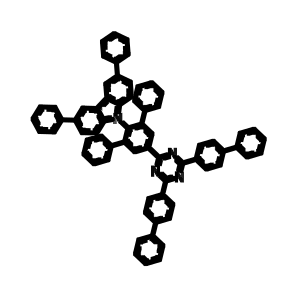 c1ccc(-c2ccc(-c3nc(-c4ccc(-c5ccccc5)cc4)nc(-c4cc(-c5ccccc5)c(-n5c6ccc(-c7ccccc7)cc6c6cc(-c7ccccc7)ccc65)c(-c5ccccc5)c4)n3)cc2)cc1